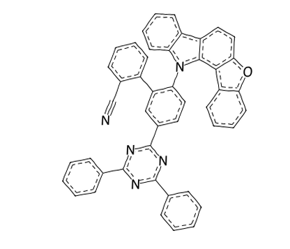 N#Cc1ccccc1-c1cc(-c2nc(-c3ccccc3)nc(-c3ccccc3)n2)ccc1-n1c2ccccc2c2ccc3oc4ccccc4c3c21